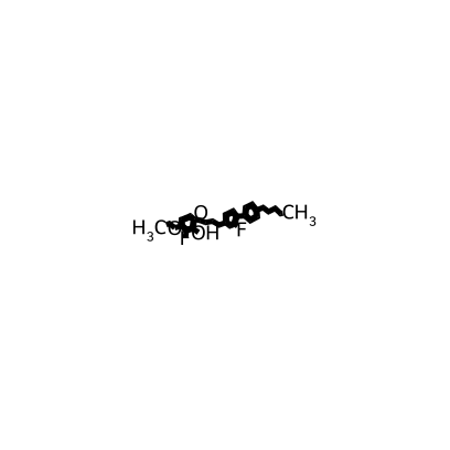 CCCCCc1ccc(-c2ccc(CCCC(=O)c3ccc(OCC)c(F)c3O)cc2F)cc1